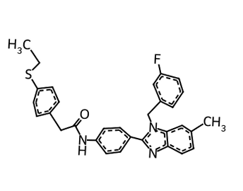 CCSc1ccc(CC(=O)Nc2ccc(-c3nc4ccc(C)cc4n3Cc3cccc(F)c3)cc2)cc1